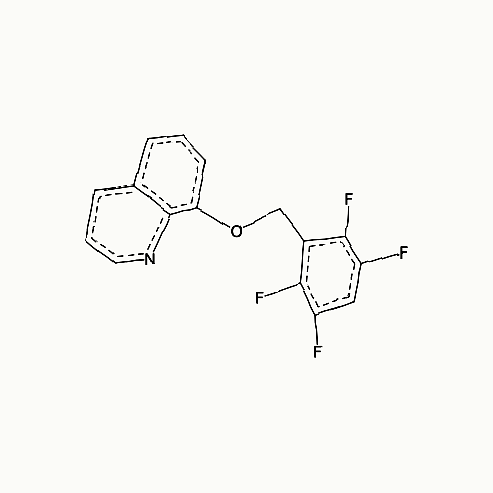 Fc1cc(F)c(F)c(COc2cccc3cccnc23)c1F